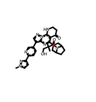 Cn1ccc(-c2ccc(-c3cnn4c5c(c(C6CC7CCC(C6)N7C(=O)C(C)(C)CO)nc34)C(=O)CCN5)cn2)n1